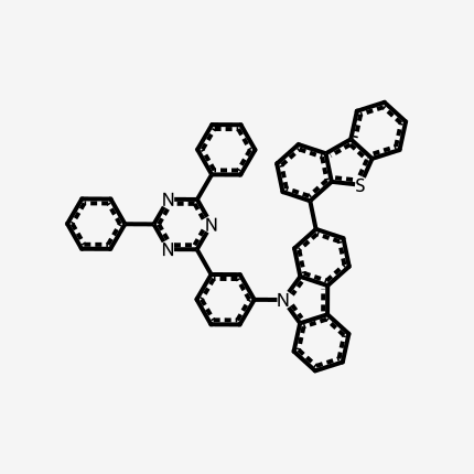 c1ccc(-c2nc(-c3ccccc3)nc(-c3cccc(-n4c5ccccc5c5ccc(-c6cccc7c6sc6ccccc67)cc54)c3)n2)cc1